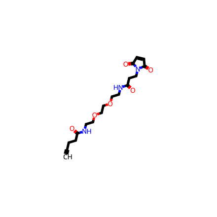 C#CCCC(=O)NCCOCCOCCNC(=O)CCN1C(=O)C=CC1=O